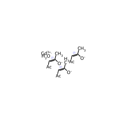 CC(=O)/C=C(/C)[O-].CC(=O)/C=C(/C)[O-].CC(=O)/C=C(/C)[O-].O.[Gd+3]